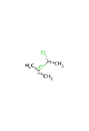 C=C(Cl)Cl.C=C=C